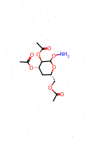 CC(=O)OC[C@@H]1C[C@H](OC(C)=O)[C@@H](OC(C)=O)C(ON)O1